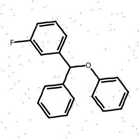 Fc1cccc(C(Oc2[c]cccc2)c2ccccc2)c1